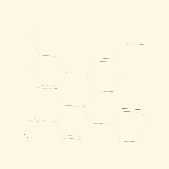 COc1ccc(-c2c(NN)ccc(-c3ccccc3)c2-c2ccc(OC)cc2)cc1